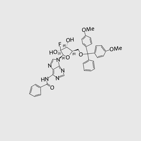 COc1ccc(C(OC[C@H]2O[C@@H](n3cnc4c(NC(=O)c5ccccc5)ncnc43)[C@@](O)(F)[C@@H]2O)(c2ccccc2)c2ccc(OC)cc2)cc1